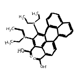 CCN(CC)c1c(C(=O)O)c2c(C(=O)O)ccc3c4cccc5cccc(c(c1N(CC)CC)c23)c54